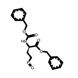 O=PCC[C@@H](NC(=O)OCc1ccccc1)C(=O)OCc1ccccc1